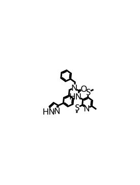 CSc1cc(C)nc(SC)c1NC(=O)N(Cc1ccccc1)Cc1cccc(-c2cc[nH]n2)c1